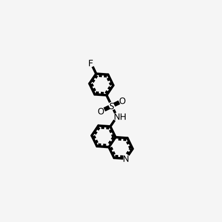 O=S(=O)(Nc1cccc2cnccc12)c1ccc(F)cc1